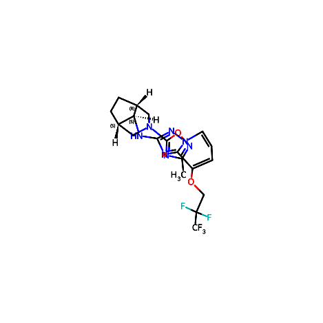 Cc1noc(N2C[C@H]3CC[C@@H](C2)[C@@H]3Nc2nc3c(OCC(F)(F)C(F)(F)F)cccn3n2)n1